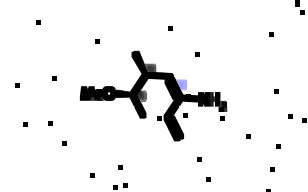 C=C/C(N)=C\[C@H](C)[C@@H](C)OC